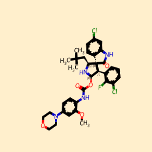 COc1cc(N2CCOCC2)ccc1NC(=O)O[C@H]1N[C@@H](CC(C)(C)C)[C@@]2(C(=O)Nc3cc(Cl)ccc32)[C@H]1c1cccc(Cl)c1F